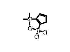 C[Si](C)(C)C1=[C]([Ti]([Cl])([Cl])[Cl])CC=C1